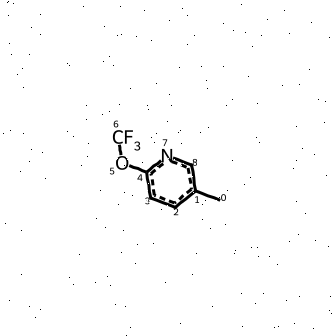 Cc1ccc(OC(F)(F)F)nc1